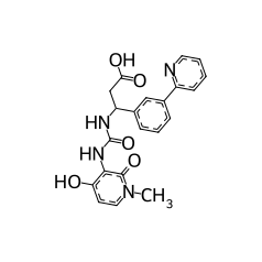 Cn1ccc(O)c(NC(=O)NC(CC(=O)O)c2cccc(-c3ccccn3)c2)c1=O